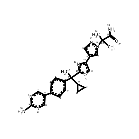 CC(c1ccc(-c2cnc(N)nc2)cc1)(c1nc(-c2cnn(C(C)(C)C(N)=O)c2)co1)C1CC1